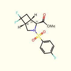 COC(=O)[C@@H]1[C@H]2CC(F)(F)[C@H]2CN1S(=O)(=O)c1ccc(F)cc1